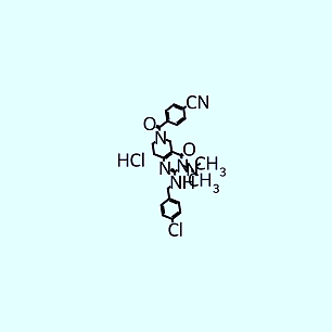 CN(C)n1c(NCc2ccc(Cl)cc2)nc2c(c1=O)CN(C(=O)c1ccc(C#N)cc1)CC2.Cl